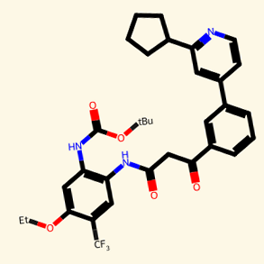 CCOc1cc(NC(=O)OC(C)(C)C)c(NC(=O)CC(=O)c2cccc(-c3ccnc(C4CCCC4)c3)c2)cc1C(F)(F)F